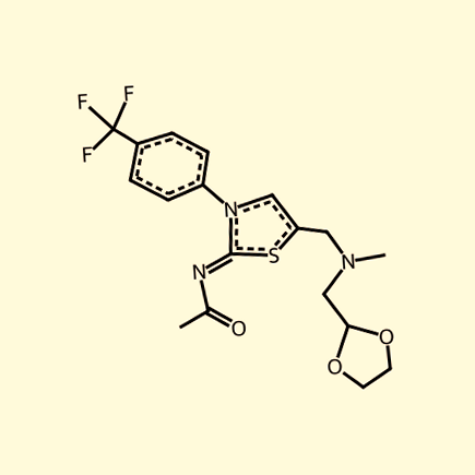 CC(=O)N=c1sc(CN(C)CC2OCCO2)cn1-c1ccc(C(F)(F)F)cc1